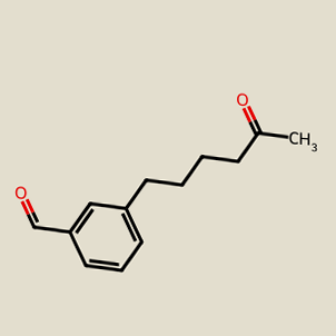 CC(=O)CCCCc1cccc(C=O)c1